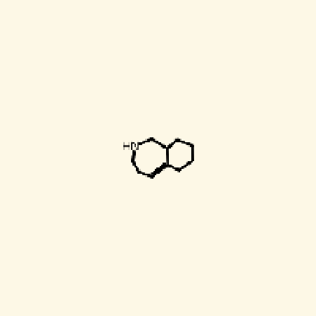 C1=C2CCCCC2CNCC1